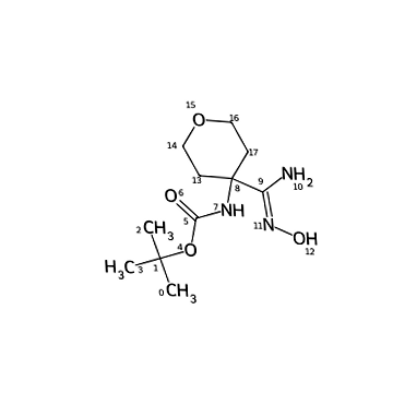 CC(C)(C)OC(=O)NC1(/C(N)=N/O)CCOCC1